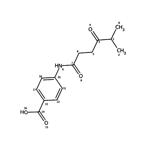 CC(C)C(=O)CCC(=O)Nc1ccc(C(=O)O)cc1